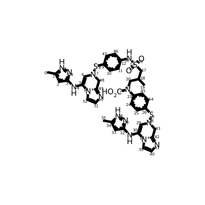 Cc1cc(NC2=CN(Sc3ccc(NS(=O)(=O)CC(C)CN(C(=O)O)c4ccc(SN5C=C(Nc6cc(C)[nH]n6)[N+]6C=CN=C6C5)cc4)cc3)CC3=NC=C[N+]23)n[nH]1